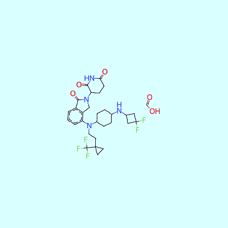 O=C1CCC(N2Cc3c(cccc3N(CCC3(C(F)(F)F)CC3)C3CCC(NC4CC(F)(F)C4)CC3)C2=O)C(=O)N1.O=CO